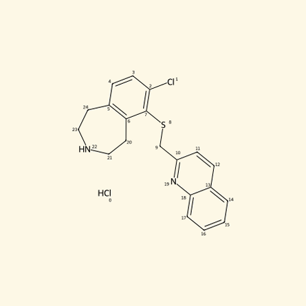 Cl.Clc1ccc2c(c1SCc1ccc3ccccc3n1)CCNCC2